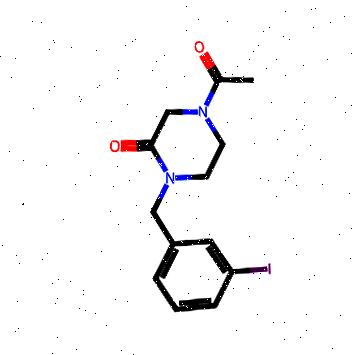 CC(=O)N1CCN(Cc2cccc(I)c2)C(=O)C1